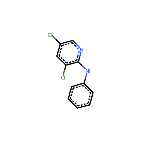 Clc1cnc(Nc2ccccc2)c(Cl)c1